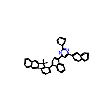 CC1(C)c2cc3ccccc3cc2-c2cccc(-c3ccc(-c4cc(-c5ccc6ccccc6c5)nc(-c5ccccc5)n4)c4ccccc34)c21